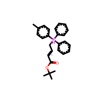 Cc1ccc([PH](C/C=C/C(=O)OC(C)(C)C)(c2ccccc2)c2ccccc2)cc1